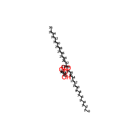 CCCCCCCCCCCCCCCCCC(=O)OC(=O)CCCCCCCCCCCCCCC.OCCO